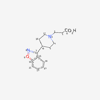 O=C(O)CCN1CCC(c2noc3ccccc23)CC1